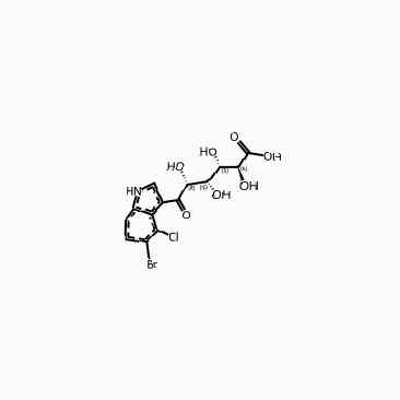 O=C(O)[C@@H](O)[C@@H](O)[C@H](O)[C@@H](O)C(=O)c1c[nH]c2ccc(Br)c(Cl)c12